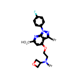 CC(C)c1nn(-c2ccc(F)cc2)c2nc(C(=O)O)cc(OCCN(C(C)C)C3COC3)c12